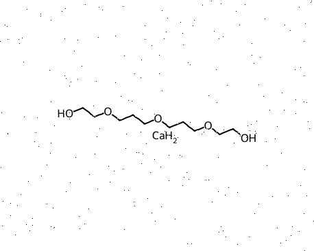 OCCOCCCOCCCOCCO.[CaH2]